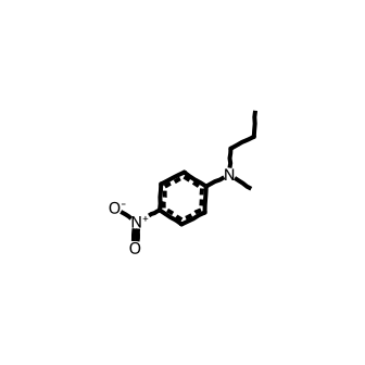 CCCN(C)c1ccc([N+](=O)[O-])cc1